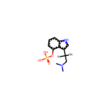 [2H]C([2H])(CN(C)C)c1c[nH]c2cccc(OP(=O)(O)O)c12